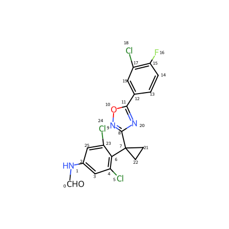 O=CNc1cc(Cl)c(C2(c3noc(-c4ccc(F)c(Cl)c4)n3)CC2)c(Cl)c1